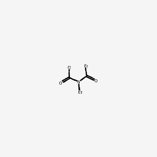 CCC(=O)N(CC)C(=O)Cl